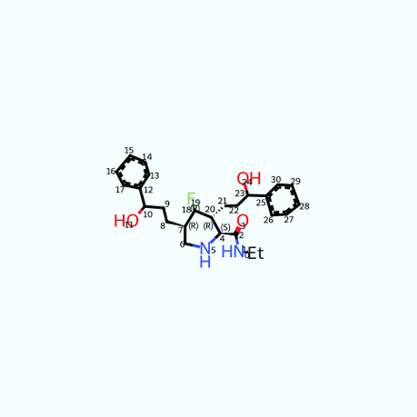 CCNC(=O)[C@H]1NC[C@@H](CCC(O)c2ccccc2)[C@@H](F)[C@@H]1CCC(O)c1ccccc1